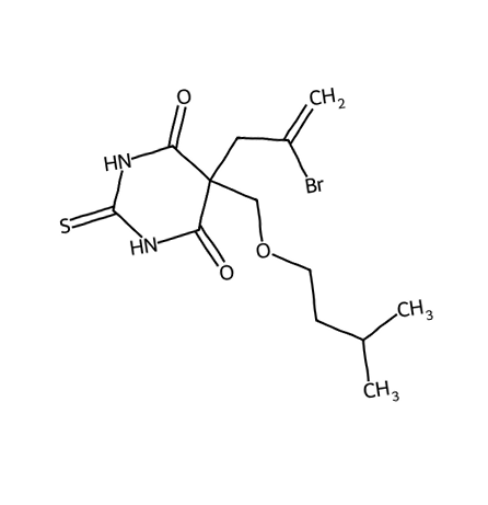 C=C(Br)CC1(COCCC(C)C)C(=O)NC(=S)NC1=O